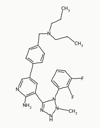 CCCN(CCC)Cc1ccc(-c2cnc(N)c(C3=NNN(C)N3c3cccc(F)c3F)c2)cc1